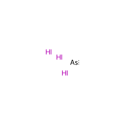 I.I.I.[As]